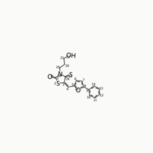 O=C1SC(=Cc2ccc(-c3ccccc3)o2)C(=S)N1CCCO